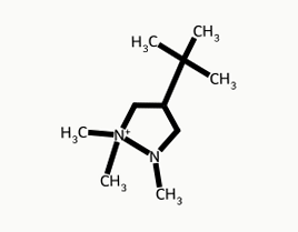 CN1CC(C(C)(C)C)C[N+]1(C)C